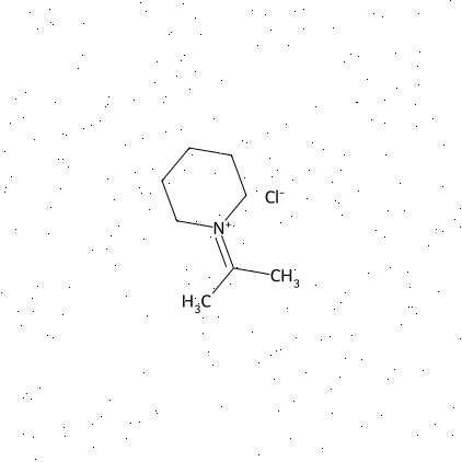 CC(C)=[N+]1CCCCC1.[Cl-]